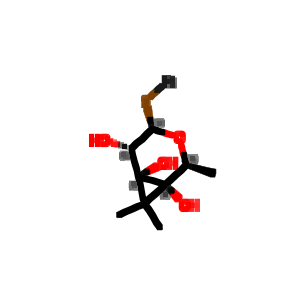 CCS[C@H]1O[C@@H](C)[C@]2(O)C(C)(C)[C@]2(O)[C@@H]1O